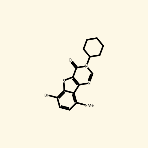 CNc1ccc(Br)c2sc3c(=O)n(C4CCCCC4)cnc3c12